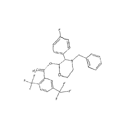 C=C(OC1OCCN(Cc2ccccc2)C1c1ccc(F)cc1)c1cc(C(F)(F)F)ccc1C(F)(F)F